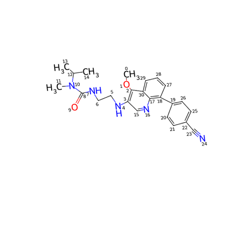 COc1c(NCCNC(=O)N(C)C(C)C)cnc2c(-c3ccc(C#N)cc3)cccc12